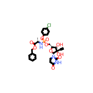 C#C[C@@]1(O)[C@H](O)[C@@H](COP(=O)(N[C@@H](C)C(=O)OCc2ccccc2)Oc2ccc(Cl)cc2)O[C@H]1n1ccc(=O)[nH]c1=O